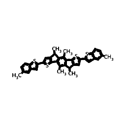 Cc1ccc2sc(-c3cc4c(s3)-c3c(C)c5c(c(C)c3C4C)-c3sc(-c4cc6cc(C)ccc6s4)cc3C5C)cc2c1